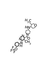 CCC1COCCC1NC1CCN(C(=O)c2ncnc(Nc3cccc(OC(F)(F)F)c3)c2C)CC1